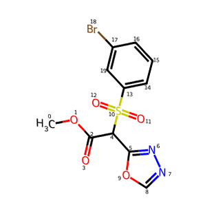 COC(=O)C(c1nnco1)S(=O)(=O)c1cccc(Br)c1